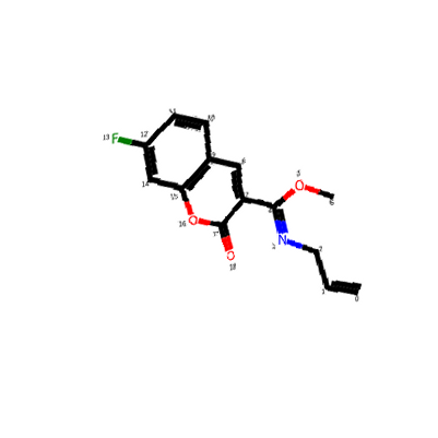 C=CC/N=C(\OC)c1cc2ccc(F)cc2oc1=O